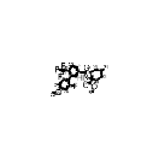 COC(=O)C1(NC(=O)c2ccc(C(F)(F)F)c(-c3c(F)cc(OC)cc3F)c2)CCC(C)CC1